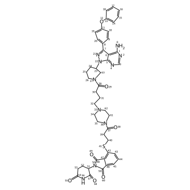 Nc1ncnc2c1c(-c1ccc(Oc3ccccc3)cc1)nn2C1CCCN(C(=O)CCCN2CCN(C(=O)CCSc3cccc4c3C(=O)N(C3CCC(=O)NC3=O)C4=O)CC2)C1